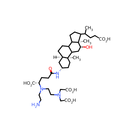 CC(CCC(=O)O)C1CCC2C3CC[C@@H]4C[C@@H](NC(=O)CC[C@@H](C(=O)O)N(CCN)CCN(CC(=O)O)CC(=O)O)CC[C@]4(C)C3C[C@H](O)[C@]12C